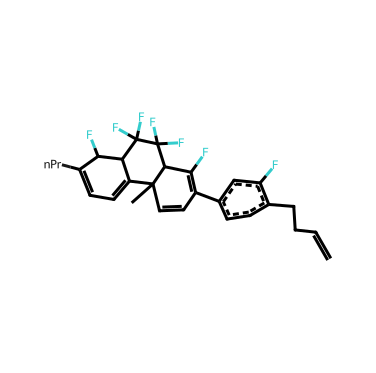 C=CCCc1ccc(C2=C(F)C3C(C)(C=C2)C2=CC=C(CCC)C(F)C2C(F)(F)C3(F)F)cc1F